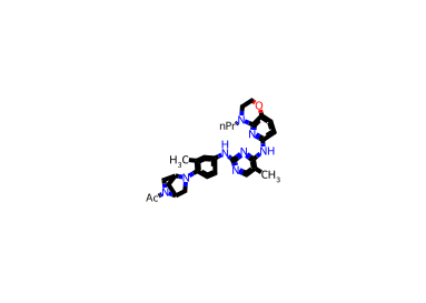 CCCN1CCOc2ccc(Nc3nc(Nc4ccc(N5CC6CC5CN6C(C)=O)c(C)c4)ncc3C)nc21